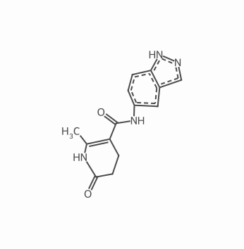 CC1=C(C(=O)Nc2ccc3[nH]ncc3c2)CCC(=O)N1